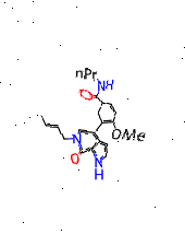 C/C=C/Cn1cc(C2=C(OC)C=CC(C(=O)NCCC)C2)c2cc[nH]c2c1=O